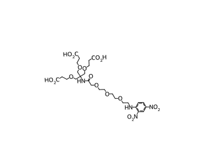 O=C(O)CCOCC(COCCC(=O)O)(COCCC(=O)O)NC(=O)COCCOCCOCCNc1ccc([N+](=O)[O-])cc1[N+](=O)[O-]